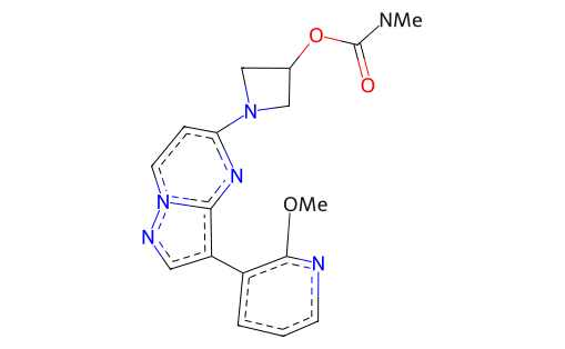 CNC(=O)OC1CN(c2ccn3ncc(-c4cccnc4OC)c3n2)C1